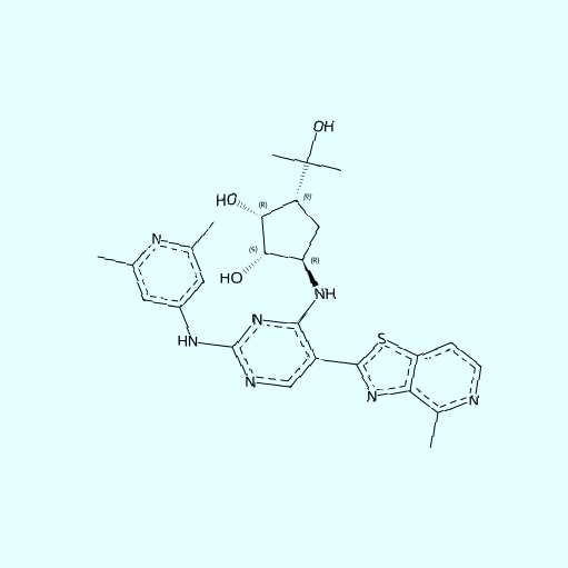 Cc1cc(Nc2ncc(-c3nc4c(C)nccc4s3)c(N[C@@H]3C[C@@H](C(C)(C)O)[C@@H](O)[C@H]3O)n2)cc(C)n1